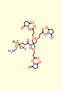 CC(C)(CCC(=O)NC(COCCC(=O)ON1C(=O)CCC1=O)(COCCC(=O)ON1C(=O)CCC1=O)COCCC(=O)ON1C(=O)CCC1=O)OCN